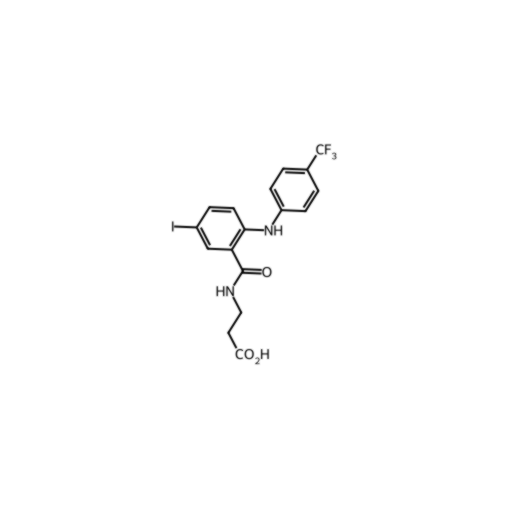 O=C(O)CCNC(=O)c1cc(I)ccc1Nc1ccc(C(F)(F)F)cc1